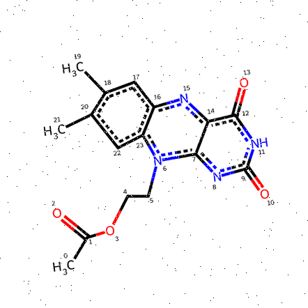 CC(=O)OCCn1c2nc(=O)[nH]c(=O)c-2nc2cc(C)c(C)cc21